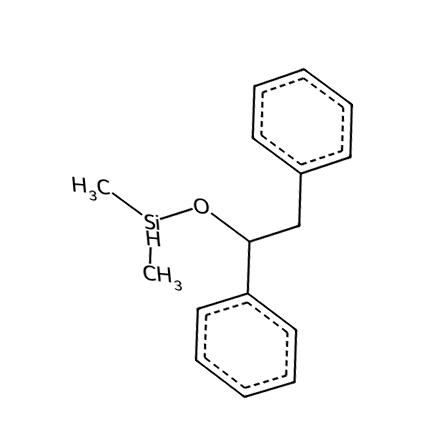 C[SiH](C)OC(Cc1ccccc1)c1ccccc1